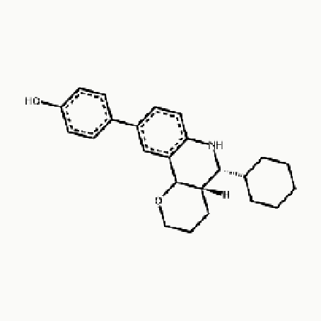 Oc1ccc(-c2ccc3c(c2)C2OCCC[C@H]2[C@@H](C2CCCCC2)N3)cc1